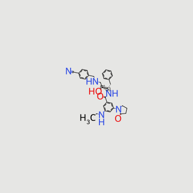 CCNc1cc(C(=O)N[C@@H](Cc2ccccc2)[C@H](O)CNCc2ccc(C#N)cc2)cc(N2CCCC2=O)c1